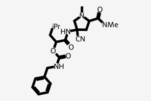 CNC(=O)C1CC(C#N)(NC(=O)C(CC(C)C)OC(=O)NCc2ccccc2)CN1C